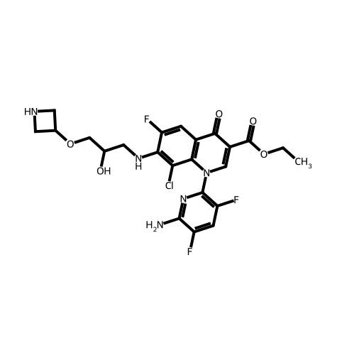 CCOC(=O)c1cn(-c2nc(N)c(F)cc2F)c2c(Cl)c(NCC(O)COC3CNC3)c(F)cc2c1=O